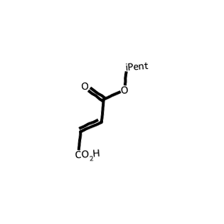 CCCC(C)OC(=O)C=CC(=O)O